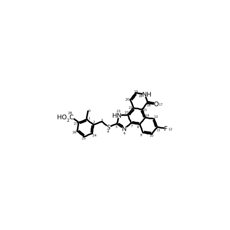 Cc1c(CSc2nc3c4ccc(F)cc4c4c(=O)[nH]ccc4c3[nH]2)cccc1C(=O)O